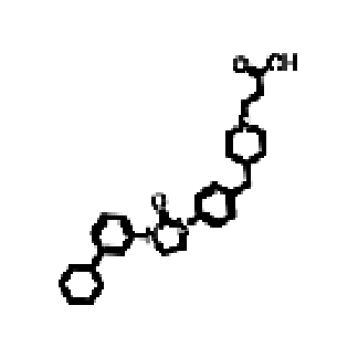 O=C(O)CCN1CCC(Cc2ccc(N3CCN(c4cccc(C5CCCCC5)c4)C3=O)cc2)CC1